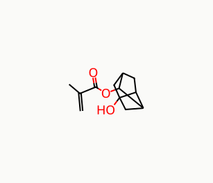 C=C(C)C(=O)OC1C2CC3C1CC3(O)C2